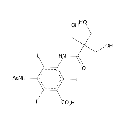 CC(=O)Nc1c(I)c(NC(=O)C(CO)(CO)CO)c(I)c(C(=O)O)c1I